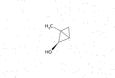 CC12CC1[C@H]2O